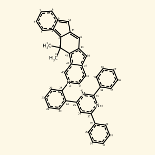 CC1(C)C2=c3ccccc3=CC2=Cc2cc3ccn(-c4ccccc4-c4cc(-c5ccccc5)nc(-c5ccccc5)n4)cc-3c21